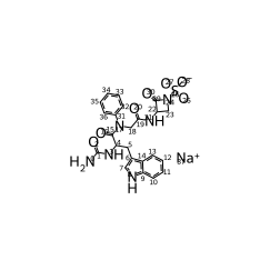 NC(=O)NC(Cc1c[nH]c2ccccc12)C(=O)N(CC(=O)NC1CN(S(=O)(=O)[O-])C1=O)c1ccccc1.[Na+]